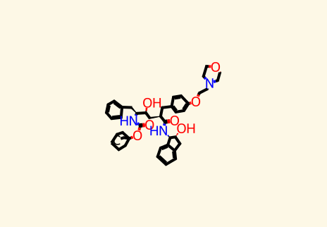 O=C(N[C@@H](Cc1ccccc1)[C@@H](O)C[C@@H](Cc1ccc(OCCN2CCOCC2)cc1)C(=O)N[C@H]1c2ccccc2C[C@H]1O)OC12CCC(CC1)CC2